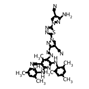 Cc1cc(C)c(Nc2nc(Nc3c(C)cc(C)cc3C)c(N=Nc3nn(-c4nnc(-n5cc(C#N)c(N)n5)s4)cc3C#N)c(C)c2C#N)c(C)c1